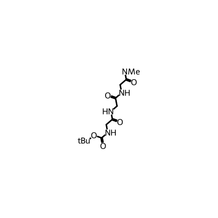 CNC(=O)CNC(=O)CNC(=O)CNC(=O)OC(C)(C)C